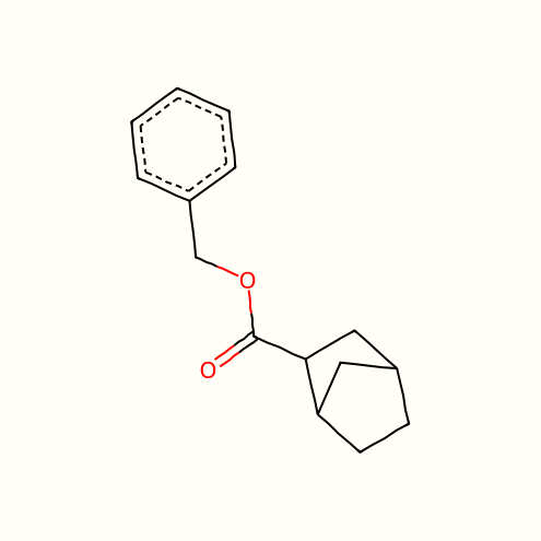 O=C(OCc1ccccc1)C1CC2CCC1C2